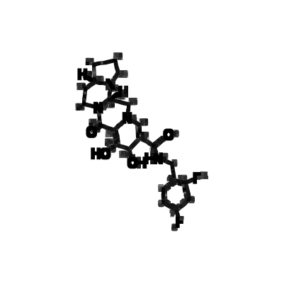 O=C(NCc1ccc(F)cc1F)C1=CN2C[C@@H]3N(CC[C@@H]4CCCN43)C(=O)C2=C(O)C1O